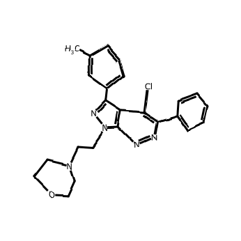 Cc1cccc(-c2nn(CCN3CCOCC3)c3nnc(-c4ccccc4)c(Cl)c23)c1